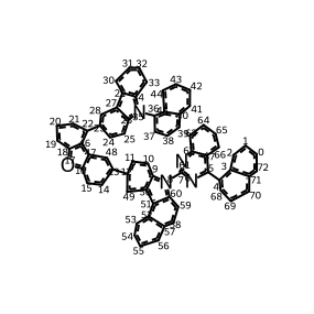 c1ccc2c(-c3nc(-n4c5ccc(-c6ccc7oc8cccc(-c9ccc%10c(c9)c9ccccc9n%10-c9cccc%10ccccc9%10)c8c7c6)cc5c5c6ccccc6ccc54)nc4ccccc34)cccc2c1